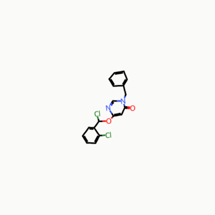 O=c1cc(OC(Cl)c2ccccc2Cl)ncn1Cc1ccccc1